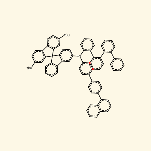 CC(C)(C)c1ccc2c(c1)C1(c3ccccc3-c3cc(N(c4ccc(-c5ccc(-c6cccc7ccccc67)cc5)cc4)c4ccccc4-c4ccccc4-c4ccccc4-c4ccccc4)ccc31)c1cc(C(C)(C)C)ccc1-2